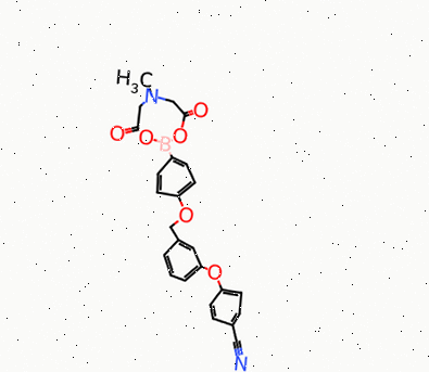 CN1CC(=O)OB(c2ccc(OCc3cccc(Oc4ccc(C#N)cc4)c3)cc2)OC(=O)C1